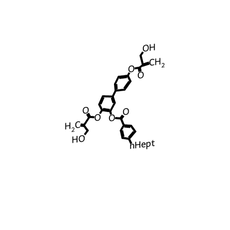 C=C(CO)C(=O)Oc1ccc(-c2ccc(OC(=O)C(=C)CO)c(OC(=O)c3ccc(CCCCCCC)cc3)c2)cc1